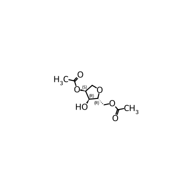 CC(=O)OC[C@H]1OC[C@H](OC(C)=O)[C@@H]1O